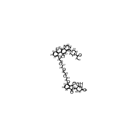 CCC(=O)N1CCN(c2ncnc3c(F)c(-c4c(F)cccc4OCCOCCOCCOCCOc4cccc5c4C(=O)N(C4CCC(=O)NC4=O)C5=O)c(Cl)cc23)CC1